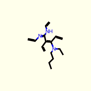 C=C/N=C(NC=C)\C(C=C)=C(/C=C)N(CC)CCCC